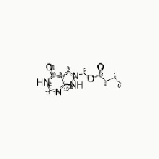 CCCC(=O)OC[n+]1cc2c(=O)[nH]cnc2[nH]1